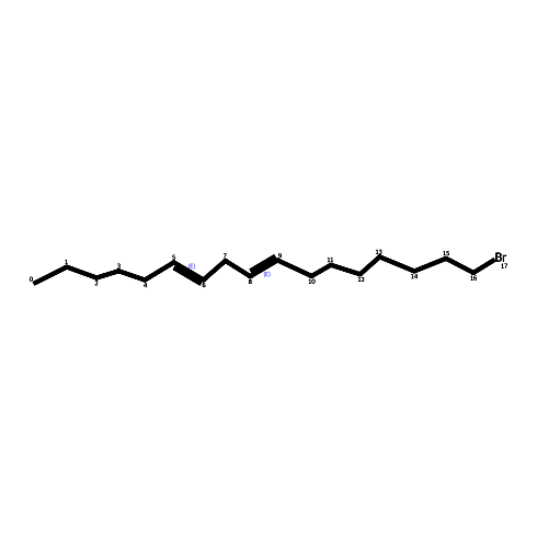 CCCCC/C=C/C/C=C/CCCCCCCBr